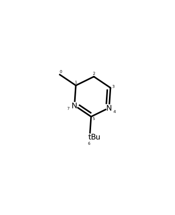 CC1CC=NC(C(C)(C)C)=N1